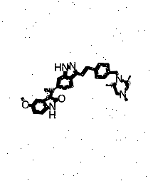 COc1ccc2c(c1)[C@]1(C[C@H]1c1ccc3c(C=Cc4ccc(CN5[C@H](C)CN(C)C[C@@H]5C)cc4)n[nH]c3c1)C(=O)N2